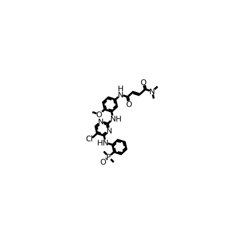 COc1ccc(NC(=O)C=CC(=O)N(C)C)cc1Nc1ncc(Cl)c(Nc2ccccc2P(C)(C)=O)n1